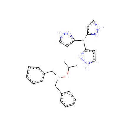 CC(C)[O][Zr]([CH2]c1ccccc1)[CH2]c1ccccc1.c1cc(B(c2cc[nH]n2)c2cc[nH]n2)n[nH]1